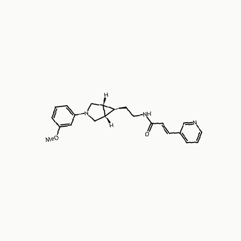 COc1cccc(N2C[C@@H]3[C@@H](CCNC(=O)/C=C/c4cccnc4)[C@@H]3C2)c1